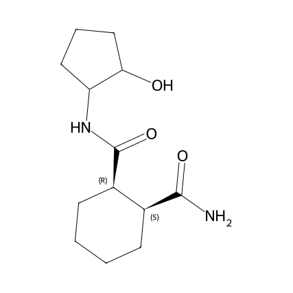 NC(=O)[C@H]1CCCC[C@H]1C(=O)NC1CCCC1O